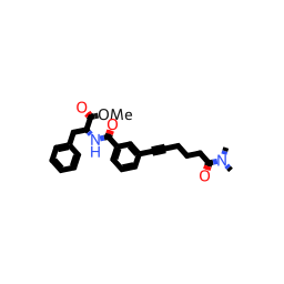 COC(=O)C(Cc1ccccc1)NC(=O)c1cccc(C#CCCCC(=O)N(C)C)c1